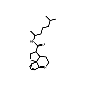 CC(C)CCCC(C)NC(=O)C1CSC23C=CC=CC2=NCCC13